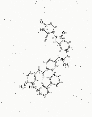 Cc1ccc(NC(=O)c2ccc(CN(C)Cc3ccc4c(c3)CN(C3CCC(=O)NC3=O)C4=O)cc2)cc1Nc1nccc(-c2cccnc2)n1